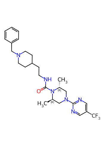 C[C@@H]1CN(c2ncc(C(F)(F)F)cn2)C[C@@H](C)N1C(=O)NCCC1CCN(Cc2ccccc2)CC1